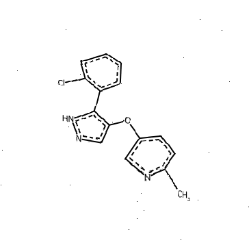 Cc1ccc(Oc2cn[nH]c2-c2ccccc2Cl)cn1